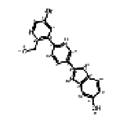 OCc1ncc(Br)cc1-c1ccc(-c2nc3cc(O)ccc3o2)cn1